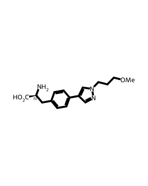 COCCCn1cc(-c2ccc(C[C@H](N)C(=O)O)cc2)cn1